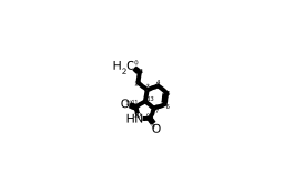 C=CCC1CC=CC2C(=O)NC(=O)C12